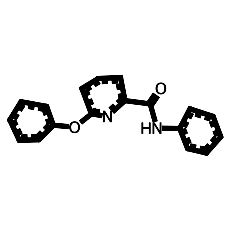 O=C(Nc1ccccc1)c1cccc(Oc2ccccc2)n1